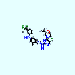 Cc1cc(Nc2cccc(C(F)(F)F)c2)ccc1/C=N/Nc1ncc(F)c(N2CCOC(C(C)C)C2)n1